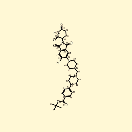 CC(C)(C)OC(=O)c1ccc(N2CCN(CC3CCN(c4cc5c(cc4F)C(=O)N(C4CCC(=O)NC4=O)C5=O)CC3)CC2)cc1